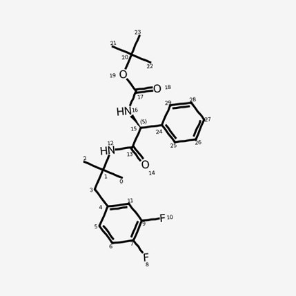 CC(C)(Cc1ccc(F)c(F)c1)NC(=O)[C@@H](NC(=O)OC(C)(C)C)c1ccccc1